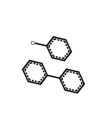 Clc1ccccc1.c1ccc(-c2ccccc2)cc1